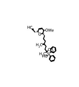 C#CC[C@@H]1C=C[C@H](OC)[C@@H](CCCC(=C)CCC(C)(C)[Si](O)(c2ccccc2)c2ccccc2)O1